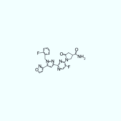 NC(=O)C1CC(=O)N(c2nc(-c3cc(-c4ccon4)n(Cc4ccccc4F)n3)ncc2F)C1